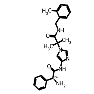 Cc1ccccc1CNC(=O)C(C)(C)n1cnc(NC(=O)[C@@H](N)c2ccccc2)c1